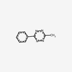 Cc1nnc(-c2ccccc2)nn1